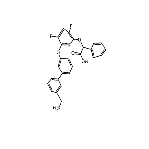 NCc1cccc(-c2cccc(Oc3nc(OC(C(=O)O)c4ccccc4)c(F)cc3F)c2)c1